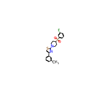 Cc1cccc(-c2csc(N3CCC(S(=O)(=O)c4cccc(F)c4)CC3)n2)c1